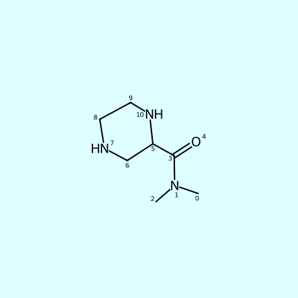 CN(C)C(=O)C1CNCCN1